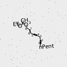 CCCCCC#CCC#C/C=C/COC(C)OCC